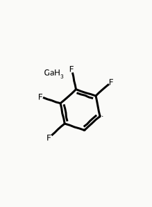 Fc1[c]cc(F)c(F)c1F.[GaH3]